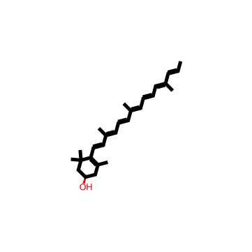 C/C=C/C(C)=C/C=C/C=C(C)/C=C/C=C(C)/C=C/C1=C(C)C[C@@H](O)CC1(C)C